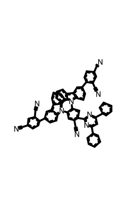 N#Cc1ccc(-c2ccc3c(c2)c2ccccc2n3-c2cc(C#N)c(-c3nc(-c4ccccc4)cc(-c4ccccc4)n3)cc2-n2c3ccccc3c3cc(-c4ccc(C#N)cc4C#N)ccc32)c(C#N)c1